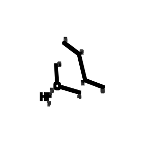 CCCC.COC.F